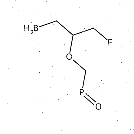 BCC(CF)OCP=O